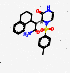 Cc1ccc(S(=O)(=O)N2C=CNC(=O)[C@H]2C(C(N)=O)C2CCCc3ccccc32)cc1